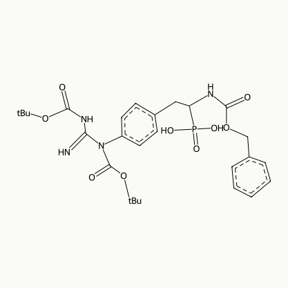 CC(C)(C)OC(=O)NC(=N)N(C(=O)OC(C)(C)C)c1ccc(CC(NC(=O)OCc2ccccc2)P(=O)(O)O)cc1